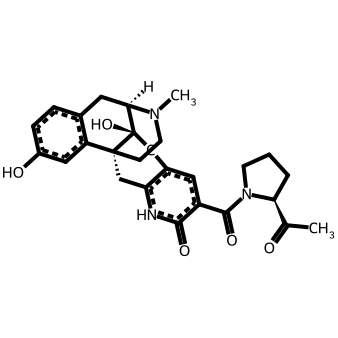 CC(=O)[C@@H]1CCCN1C(=O)c1cc2c([nH]c1=O)C[C@]13CCN(C)[C@H](Cc4ccc(O)cc41)[C@]3(O)C2